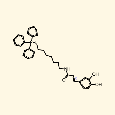 O=C(/C=C/c1ccc(O)c(O)c1)NCCCCCCCC[PH](c1ccccc1)(c1ccccc1)c1ccccc1